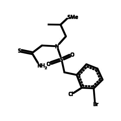 CSC(C)CN(CC(N)=S)S(=O)(=O)Cc1cccc(Br)c1Cl